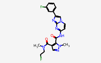 CN(CCF)C(=O)c1cnn(C)c1C(=O)Nc1ccn2cc(-c3cccc(F)c3)nc2n1